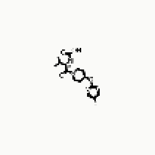 CC(C)[C@H](NC(=O)O)C(=O)N1CCC(Oc2ncc(F)cn2)CC1